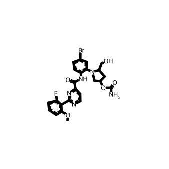 COc1cccc(F)c1-c1nccc(C(=O)Nc2ccc(Br)cc2N2CC(OC(N)=O)CC2CO)n1